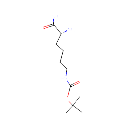 CC(C)(C)OC(=O)NCCCC[C@H](N)C(N)=O